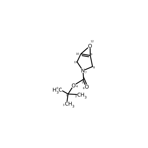 CC(C)(C)OC(=O)N1CC2=C(C1)O2